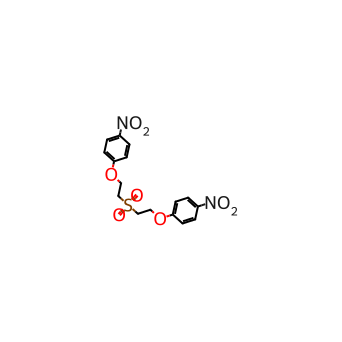 O=[N+]([O-])c1ccc(OCCS(=O)(=O)CCOc2ccc([N+](=O)[O-])cc2)cc1